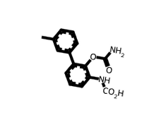 Cc1cccc(-c2cccc(NC(=O)O)c2OC(N)=O)c1